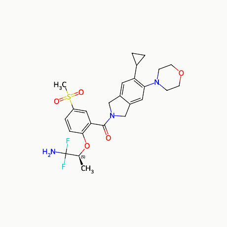 C[C@H](Oc1ccc(S(C)(=O)=O)cc1C(=O)N1Cc2cc(C3CC3)c(N3CCOCC3)cc2C1)C(N)(F)F